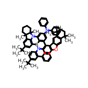 CC(C)(C)c1ccc(N2B3c4cc(C(C)(C)C)cc5c4N(c4cc(N(c6ccccc6)c6ccccc6)cc(c43)-c3c2ccc2oc4cc6c(cc4c32)C(C)(C)CCC6(C)C)C2(C)CCCCC52C)c(-c2ccccc2)c1